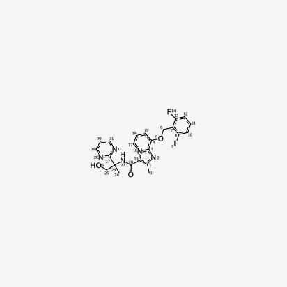 Cc1nc2c(OCc3c(F)cccc3F)cccn2c1C(=O)NC(C)(CO)c1ncccn1